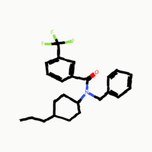 CCCC1CCC(N(Cc2ccccc2)C(=O)c2cccc(C(F)(F)F)c2)CC1